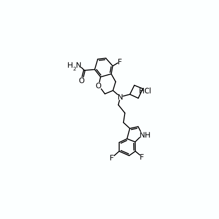 Cl.NC(=O)c1ccc(F)c2c1OCC(N(CCCc1c[nH]c3c(F)cc(F)cc13)C1CCC1)C2